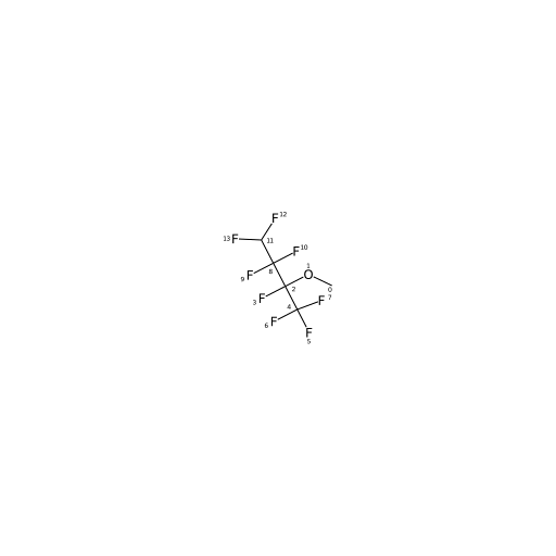 COC(F)(C(F)(F)F)C(F)(F)C(F)F